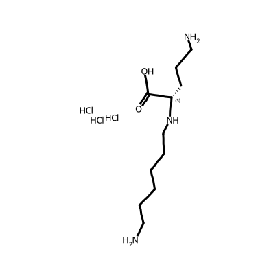 Cl.Cl.Cl.NCCCCCCN[C@@H](CCCN)C(=O)O